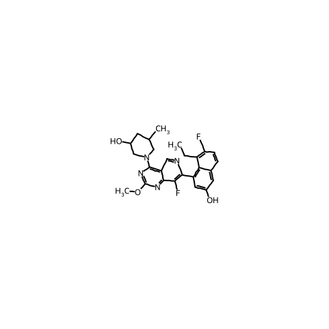 CCc1c(F)ccc2cc(O)cc(-c3ncc4c(N5CC(C)CC(O)C5)nc(OC)nc4c3F)c12